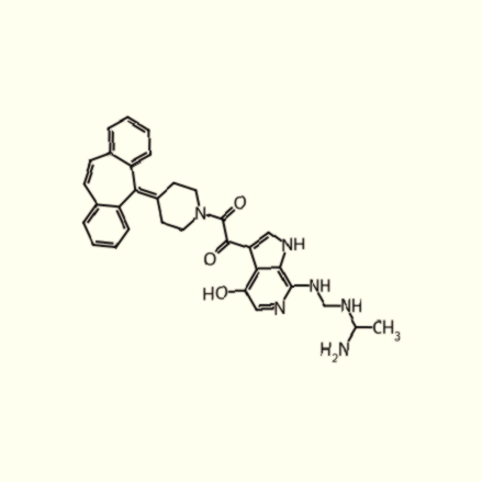 CC(N)NCNc1ncc(O)c2c(C(=O)C(=O)N3CCC(=C4c5ccccc5C=Cc5ccccc54)CC3)c[nH]c12